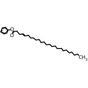 CCCCCCCCCCCCCCCCCCCCC=CCCC(=O)Oc1ccccc1